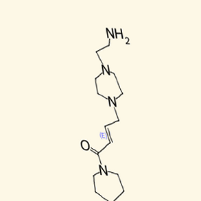 NCCN1CCN(C/C=C/C(=O)N2CCCCC2)CC1